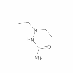 CCN(CC)NC([NH])=O